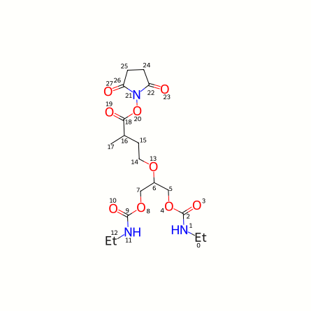 CCNC(=O)OCC(COC(=O)NCC)OCCC(C)C(=O)ON1C(=O)CCC1=O